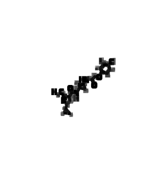 Cn1nc(C2CC2)cc1C(=O)NC12CC(NC(=O)COc3ccc(Cl)c(F)c3)(C1)C2